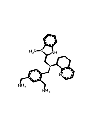 NCc1ccc(CN(CC2Nc3ccccc3N2N)C2CCCc3cccnc32)c(CN)c1